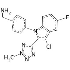 Cn1nnc(-c2c(Cl)c3cc(F)ccc3n2-c2ccc(CN)cc2)n1